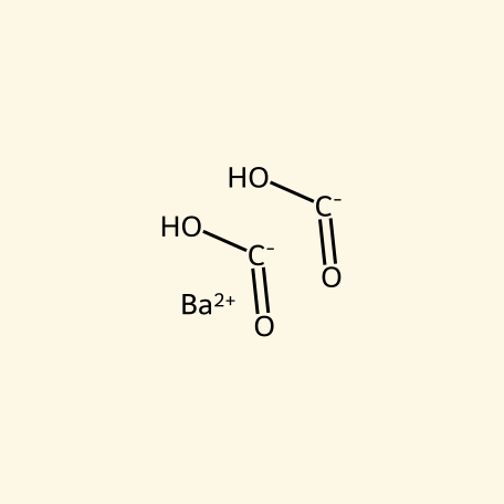 O=[C-]O.O=[C-]O.[Ba+2]